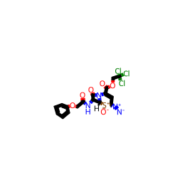 [N-]=[N+]=C1C=C(C(=O)OCC(Cl)(Cl)Cl)N2C(=O)C(NC(=O)COc3ccccc3)[C@H]2[S+]1[O-]